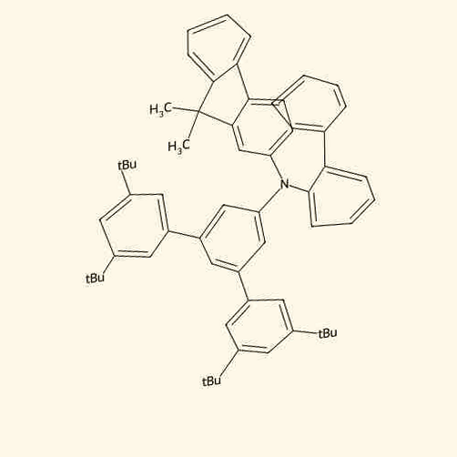 CC(C)(C)c1cc(-c2cc(-c3cc(C(C)(C)C)cc(C(C)(C)C)c3)cc(N(c3ccc4c(c3)C(C)(C)c3ccccc3-4)c3ccccc3-c3ccccc3)c2)cc(C(C)(C)C)c1